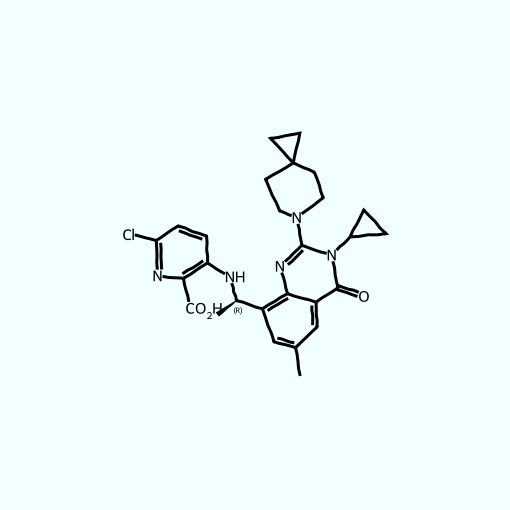 Cc1cc([C@@H](C)Nc2ccc(Cl)nc2C(=O)O)c2nc(N3CCC4(CC3)CC4)n(C3CC3)c(=O)c2c1